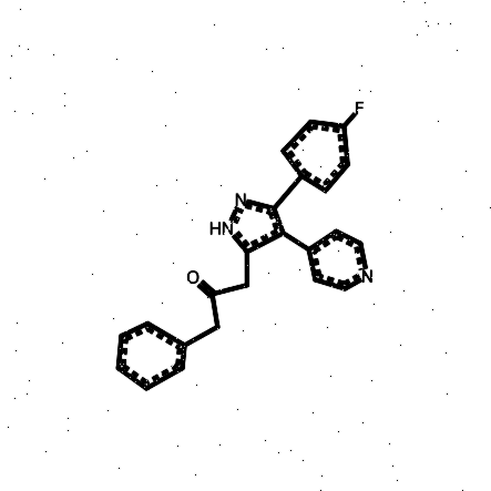 O=C(Cc1ccccc1)Cc1[nH]nc(-c2ccc(F)cc2)c1-c1ccncc1